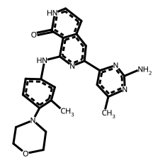 Cc1cc(-c2cc3cc[nH]c(=O)c3c(Nc3ccc(N4CCOCC4)c(C)c3)n2)nc(N)n1